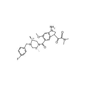 COc1cc2c(cc1C(=O)N1C[C@H](C)N(Cc3ccc(F)cc3)C[C@H]1C)C(C(=O)C(=O)N(C)C)CN2N